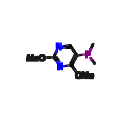 COc1ncc(P(C)C)c(OC)n1